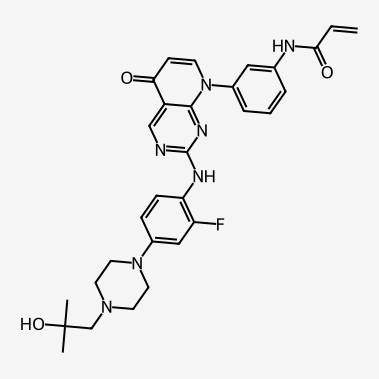 C=CC(=O)Nc1cccc(-n2ccc(=O)c3cnc(Nc4ccc(N5CCN(CC(C)(C)O)CC5)cc4F)nc32)c1